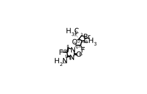 CC[C@@]1(CBr)O[C@@H](n2cc(F)c(N)nc2=O)[C@@H](F)[C@@H]1C